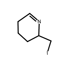 ICC1CCCC=N1